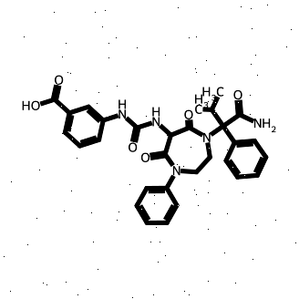 CC(C)C(C(N)=O)(c1ccccc1)N1CCN(c2ccccc2)C(=O)C(NC(=O)Nc2cccc(C(=O)O)c2)C1=O